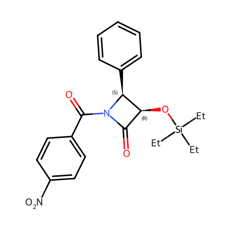 CC[Si](CC)(CC)O[C@H]1C(=O)N(C(=O)c2ccc([N+](=O)[O-])cc2)[C@H]1c1ccccc1